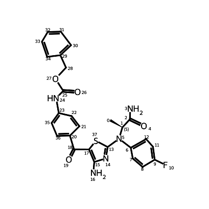 C[C@@H](C(N)=O)N(c1ccc(F)cc1)c1nc(N)c(C(=O)c2ccc(NC(=O)OCc3ccccc3)cc2)s1